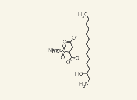 CCCCCCCCCCCCC(O)CN.O=C([O-])CC(C(=O)[O-])S(=O)(=O)O.[Na+].[Na+]